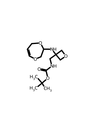 CC(C)(C)OC(=O)NCC1(NC2COC=CCO2)COC1